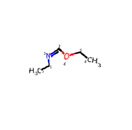 CC/N=C\OCC